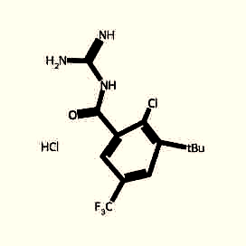 CC(C)(C)c1cc(C(F)(F)F)cc(C(=O)NC(=N)N)c1Cl.Cl